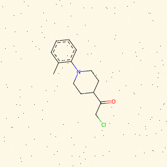 Cc1ccccc1N1CCC(C(=O)CCl)CC1